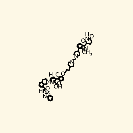 Cc1c(OCCCC2CCN(CCN3CCC(c4cccc5c(C6CCC(=O)NC6=O)nn(C)c45)CC3)CC2)cccc1-c1ccc(N2CCc3cccc(C(=O)Nc4nc5ccccc5s4)c3C2)nc1C(=O)O